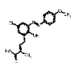 COc1ccc(/N=N/c2cc(Cl)cc(C/C=C(\C)C(=O)O)c2O)cc1